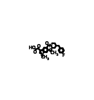 COc1cc2c(cc1C(=O)N1CCC(Cc3ccc(F)cc3)CC1)c(C(=O)C(=O)O)cn2C